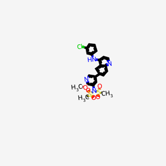 COc1ncc(-c2ccc3nccc(Nc4cccc(Cl)c4)c3c2)cc1N(S(C)(=O)=O)S(C)(=O)=O